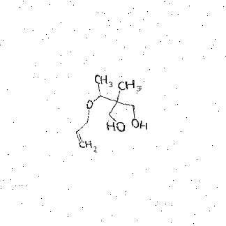 C=CCOC(C)C(C)(CO)CO